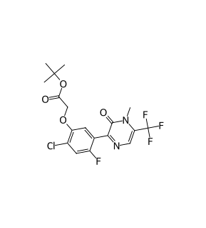 Cn1c(C(F)(F)F)cnc(-c2cc(OCC(=O)OC(C)(C)C)c(Cl)cc2F)c1=O